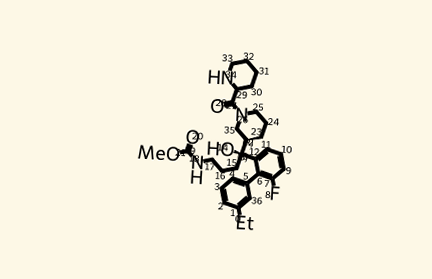 CCc1cccc(-c2c(F)cccc2[C@](O)(CCCNC(=O)OC)[C@@H]2CCCN(C(=O)C3CCCCN3)C2)c1